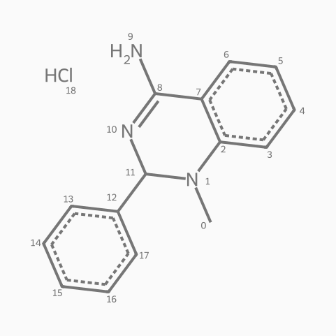 CN1c2ccccc2C(N)=NC1c1ccccc1.Cl